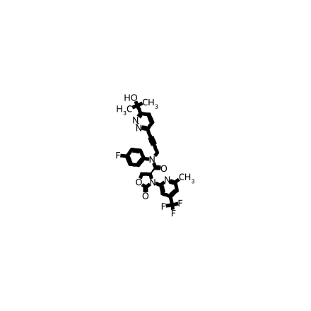 Cc1cc(C(F)(F)F)cc(N2C(=O)OC[C@H]2C(=O)N(CC#Cc2ccc(C(C)(C)O)nn2)c2ccc(F)cc2)n1